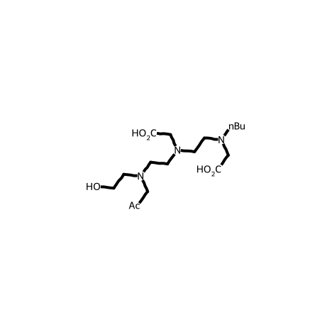 CCCCN(CCN(CCN(CCO)CC(C)=O)CC(=O)O)CC(=O)O